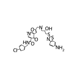 CN(Cc1cc2c(=O)c(C(=O)NCc3ccc(Cl)cc3)cn(C)c2o1)CC(O)CSc1nc2ccc(N)cc2s1